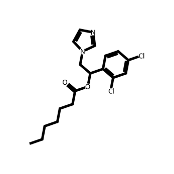 CCCCCCC(=O)OC(Cn1ccnc1)c1ccc(Cl)cc1Cl